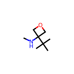 CNC1(C(C)(C)C)COC1